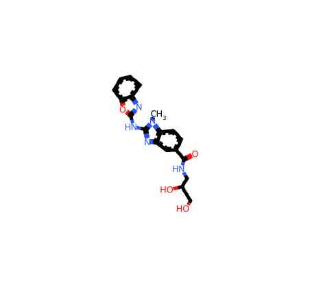 Cn1c(Nc2nc3ccccc3o2)nc2cc(C(=O)NCC(O)CO)ccc21